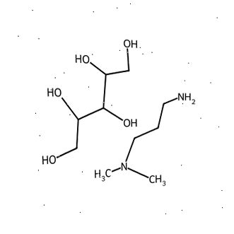 CN(C)CCCN.OCC(O)C(O)C(O)CO